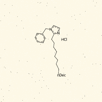 CCCCCCCCCCCCCCCCCCc1nccn1Cc1ccccc1.Cl